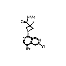 CNC(=O)C1(F)CN(c2ncc(C(C)C)c3cc(Cl)ncc23)C1